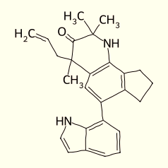 C=CCC1(C)C(=O)C(C)(C)Nc2c1cc(-c1cccc3cc[nH]c13)c1c2CCC1